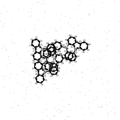 c1ccc(N(c2ccccc2)c2cccc3c4ccccc4n(-c4cccc(-c5cc(-c6cccc(-n7c8ccccc8c8cccc(N(c9ccccc9)c9ccccc9)c87)c6)nc(-c6cccc(-n7c8ccccc8c8cccc(N(c9ccccc9)c9ccccc9)c87)c6)n5)c4)c23)cc1